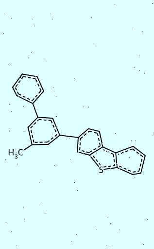 Cc1cc(-c2ccccc2)cc(-c2ccc3c(c2)sc2ccccc23)c1